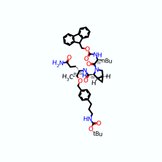 CCCC[C@H](NC(=O)OCC1c2ccccc2-c2ccccc21)C(=O)N1C[C@H]2C[C@H]2[C@H]1C(=O)N[C@@H](CCC(N)=O)[C@@H](C)OCc1ccc(CCCNC(=O)OC(C)(C)C)cc1